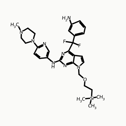 CN1CCN(c2ccc(Nc3nc(C(F)(F)c4cccc(N)c4)c4ccn(COCC[Si](C)(C)C)c4n3)cn2)CC1